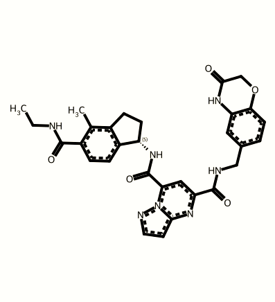 CCNC(=O)c1ccc2c(c1C)CC[C@@H]2NC(=O)c1cc(C(=O)NCc2ccc3c(c2)NC(=O)CO3)nc2ccnn12